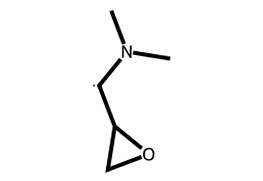 CN(C)[CH]C1CO1